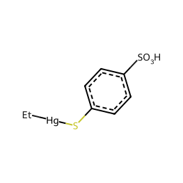 C[CH2][Hg][S]c1ccc(S(=O)(=O)O)cc1